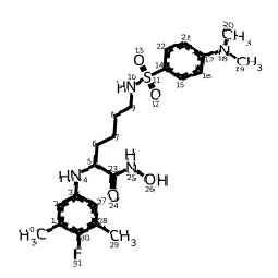 Cc1cc(NC(CCCCNS(=O)(=O)c2ccc(N(C)C)cc2)C(=O)NO)cc(C)c1F